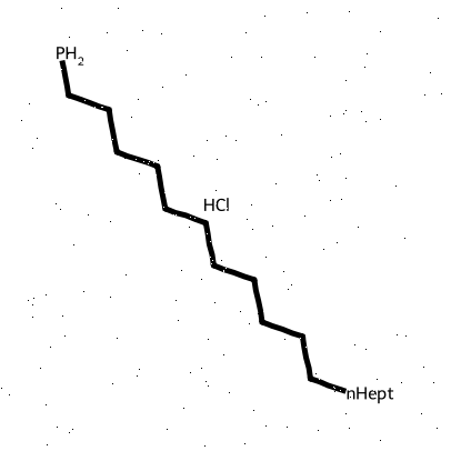 CCCCCCCCCCCCCCCCCCP.Cl